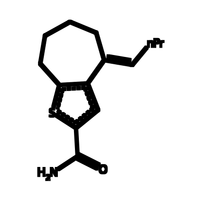 CCC/C=C1\CCCCc2sc(C(N)=O)cc21